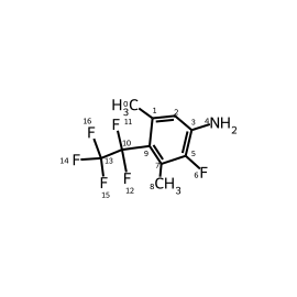 Cc1cc(N)c(F)c(C)c1C(F)(F)C(F)(F)F